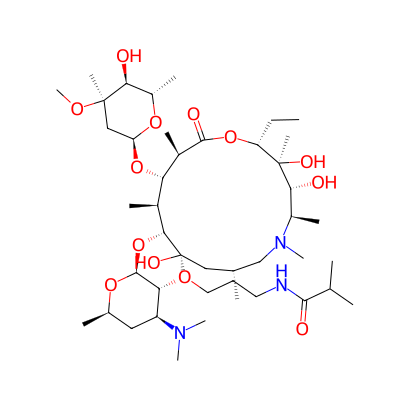 CC[C@H]1OC(=O)[C@H](C)[C@@H](O[C@H]2C[C@@](C)(OC)[C@@H](O)[C@H](C)O2)[C@H](C)[C@@H](O[C@@H]2O[C@H](C)C[C@H](N(C)C)[C@H]2OCCCNC(=O)C(C)C)[C@](C)(O)C[C@@H](C)CN(C)[C@H](C)[C@@H](O)[C@]1(C)O